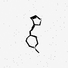 CN1CCC(C=C2C=CSC2)CC1